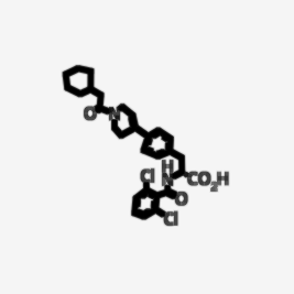 O=C(N[C@@H](Cc1ccc(C2=CCN(C(=O)CC3CCCCC3)CC2)cc1)C(=O)O)c1c(Cl)cccc1Cl